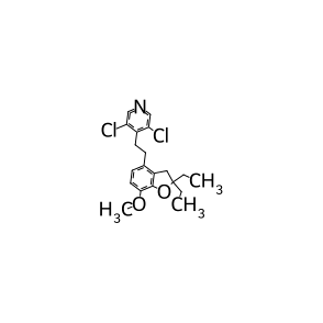 CCC1(CC)Cc2c(CCc3c(Cl)cncc3Cl)ccc(OC)c2O1